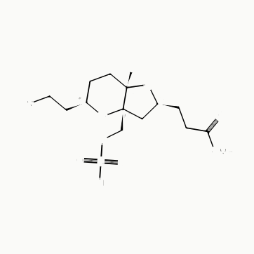 [C-]#[N+]CC[C@H]1CC[C@@H]2O[C@@H](CCC(=O)OC)C[C@]2(COS(=O)(=O)C(F)(F)F)O1